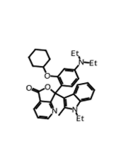 CCN(CC)c1ccc(C2(c3c(C)n(CC)c4ccccc34)OC(=O)c3cccnc32)c(OC2CCCCC2)c1